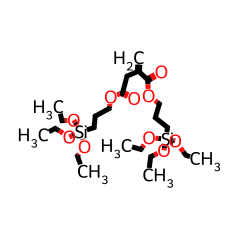 C=C(CC(=O)OCCC[Si](OCC)(OCC)OCC)C(=O)OCCC[Si](OCC)(OCC)OCC